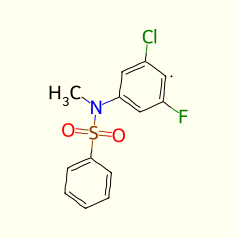 CN(c1cc(F)[c]c(Cl)c1)S(=O)(=O)c1ccccc1